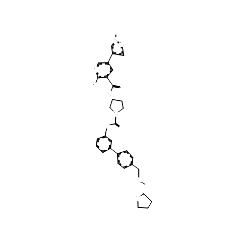 Cn1cc(-c2cnc(N)c(C(=O)N[C@@H]3CCN(C(=O)Oc4cccc(-c5ccc(CNC[C@@H]6CCCN6)cc5)c4)C3)c2)cn1